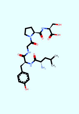 CC(C)C[C@H](N)C(=O)N[C@@H](Cc1ccc(O)cc1)C(=O)NCC(=O)N1CCC[C@H]1C(=O)N[C@@H](CO)C(=O)O